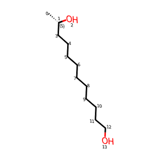 C[C@H](O)CCCCCCCCCCO